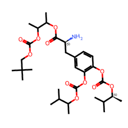 CC(C)C(C)OC(=O)Oc1cc(C[C@H](N)C(=O)OC(C)C(C)OC(=O)OCC(C)(C)C)ccc1OC(=O)O[C@@H](C)C(C)C